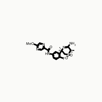 COc1cnc(C(=O)Nc2ccc(F)c([C@]3(C)CS(=O)(=O)[C@H](C)C(N)=N3)c2)cn1